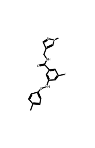 Cc1ccc(SNc2cc(F)cc(C(=O)NCc3cnn(C)c3)c2)cc1